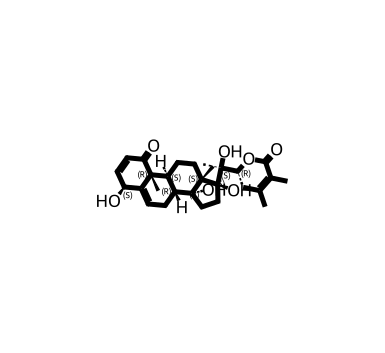 CC1=C(C)C(=O)O[C@@H]([C@](C)(O)[C@]2(O)CC[C@@]3(O)[C@@H]4CC=C5[C@@H](O)C=CC(=O)[C@]5(C)[C@H]4CC[C@]23C)C1